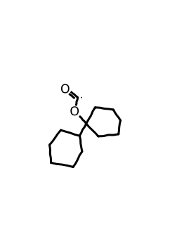 O=[C]OC1(C2CCCCC2)CCCCC1